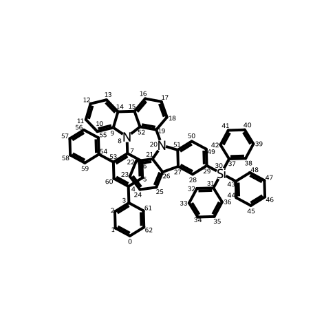 c1ccc(-c2ccc(-n3c4ccccc4c4cccc(-n5c6ccccc6c6cc([Si](c7ccccc7)(c7ccccc7)c7ccccc7)ccc65)c43)c(-c3ccccc3)c2)cc1